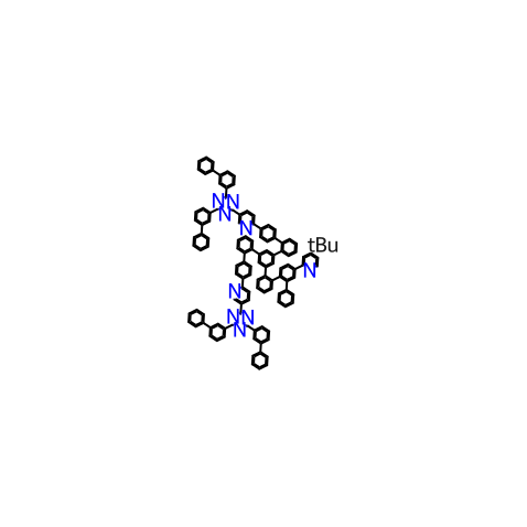 CC(C)(C)c1ccnc(-c2ccc(-c3ccccc3-c3cc(-c4ccccc4-c4ccc(-c5ccc(-c6nc(-c7cccc(-c8ccccc8)c7)nc(-c7cccc(-c8ccccc8)c7)n6)cn5)cc4)cc(-c4ccccc4-c4ccc(-c5ccc(-c6nc(-c7cccc(-c8ccccc8)c7)nc(-c7cccc(-c8ccccc8)c7)n6)cn5)cc4)c3)c(-c3ccccc3)c2)c1